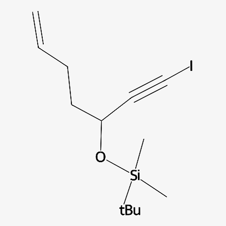 C=CCCC(C#CI)O[Si](C)(C)C(C)(C)C